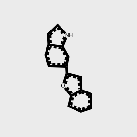 c1ccc2oc(-c3ccc4cc[nH]c4c3)cc2c1